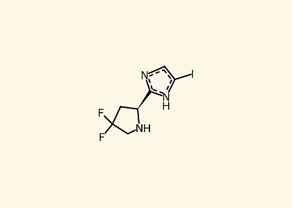 FC1(F)CN[C@H](c2ncc(I)[nH]2)C1